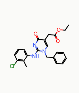 CCOC(=O)Cc1cn(Cc2ccccc2)c(Nc2cccc(Cl)c2C)nc1=O